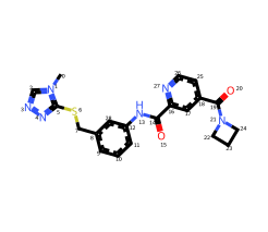 Cn1cnnc1SCc1cccc(NC(=O)c2cc(C(=O)N3CCC3)ccn2)c1